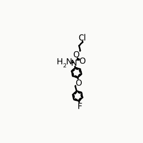 NN(C(=O)OCCCCl)c1ccc(OCc2ccc(F)cc2)cc1